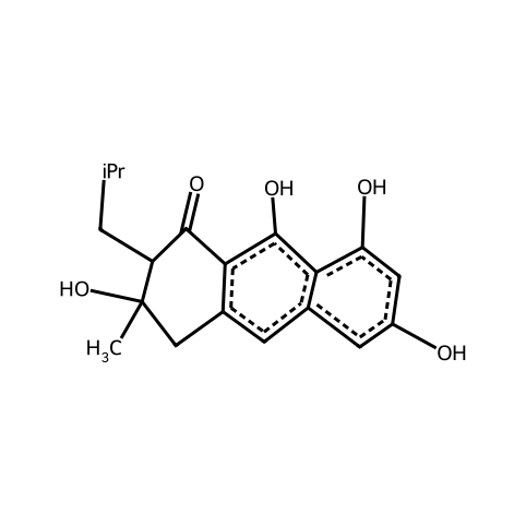 CC(C)CC1C(=O)c2c(cc3cc(O)cc(O)c3c2O)CC1(C)O